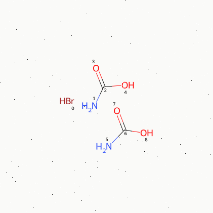 Br.NC(=O)O.NC(=O)O